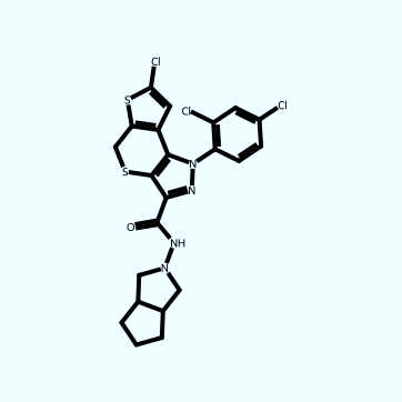 O=C(NN1CC2CCCC2C1)c1nn(-c2ccc(Cl)cc2Cl)c2c1SCc1sc(Cl)cc1-2